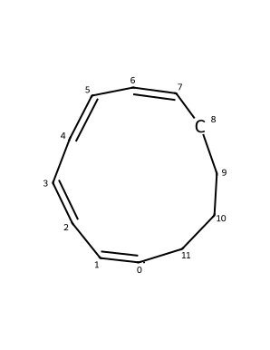 [C]1=CC=CC=CC=CCCCC1